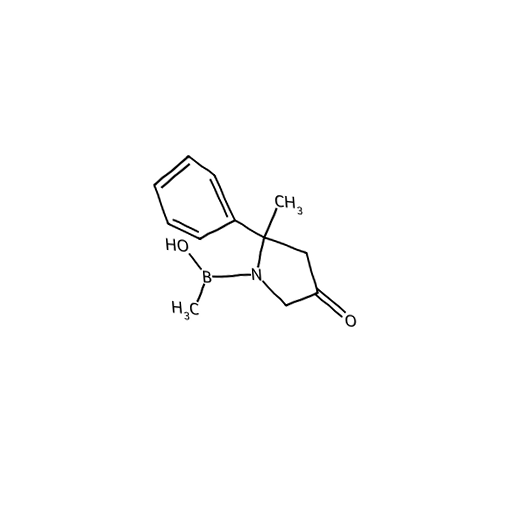 CB(O)N1CC(=O)CC1(C)c1ccccc1